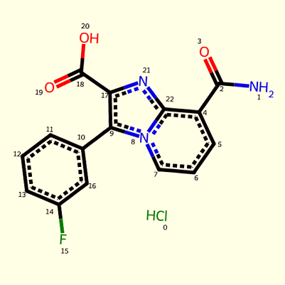 Cl.NC(=O)c1cccn2c(-c3cccc(F)c3)c(C(=O)O)nc12